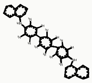 [2H]c1c([2H])c(-c2c([2H])c([2H])c(-c3c([2H])c([2H])c(Nc4cccc5ccccc45)c([2H])c3[2H])c([2H])c2[2H])c([2H])c([2H])c1Nc1cccc2ccccc12